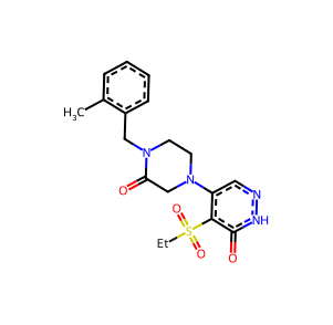 CCS(=O)(=O)c1c(N2CCN(Cc3ccccc3C)C(=O)C2)cn[nH]c1=O